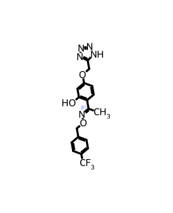 C/C(=N\OCc1ccc(C(F)(F)F)cc1)c1ccc(OCc2nnn[nH]2)cc1O